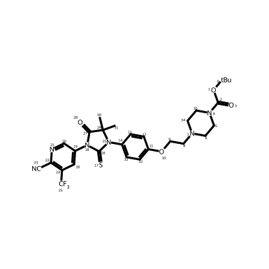 CC(C)(C)OC(=O)N1CCN(CCOc2ccc(N3C(=S)N(c4cnc(C#N)c(C(F)(F)F)c4)C(=O)C3(C)C)cc2)CC1